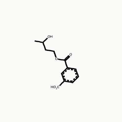 CC(O)CCOC(=O)c1cccc(C(=O)O)c1